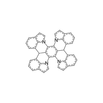 c1cc2c3c(c1)ccn3-c1c3c(c4c5c1-n1ccc6cccc(c61)C5c1cccc5ccn-4c15)-n1ccc4cccc(c41)C32